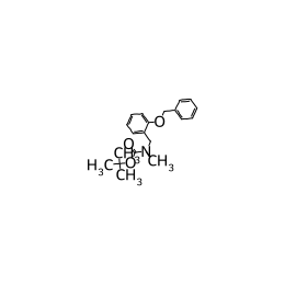 CN(Cc1ccccc1OCc1ccccc1)C(=O)OC(C)(C)C